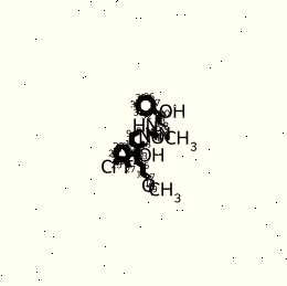 CNC[C@@H](NC(=O)N1CCCC([C@@](O)(CCCCOC)c2cccc(Cl)c2F)C1)[C@H](O)C1CCCCCC1